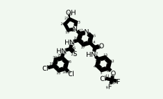 O=C(Nc1ccc(OC(F)(F)Cl)cc1)c1cnc(N2CC[C@@H](O)C2)c(NC(=S)Nc2cc(Cl)cc(Cl)c2)c1